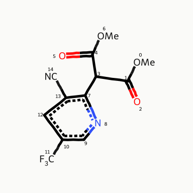 COC(=O)C(C(=O)OC)c1ncc(C(F)(F)F)cc1C#N